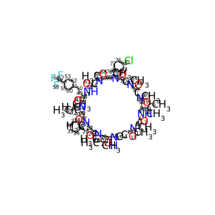 CC[C@H](C)[C@@H]1NC(=O)[C@H](C)N(C)C(=O)CCNC(=O)[C@H](C(C)C)N(C)C(=O)[C@H](Cc2ccccc2)N(C)C(=O)[C@H](CC(C)C)N(C)C(=O)[C@H](CCc2ccc(C(F)(F)F)cc2)NC(=O)CN(C)C(=O)[C@H](Cc2ccc(Cl)cc2)N(C)C(=O)CN(C)C(=O)CN(C)C1=O